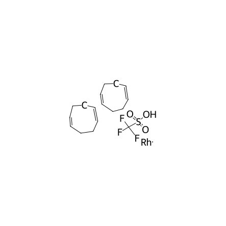 C1=C\CC/C=C\CC/1.C1=C\CC/C=C\CC/1.O=S(=O)(O)C(F)(F)F.[Rh]